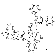 CC1(C)c2ccccc2-c2cc(-c3ccc4c(c3)c3ccccc3c3cccc(-c5cccc(-c6cc(-c7ccccc7)nc(-c7ccccc7)n6)c5)c34)ccc21